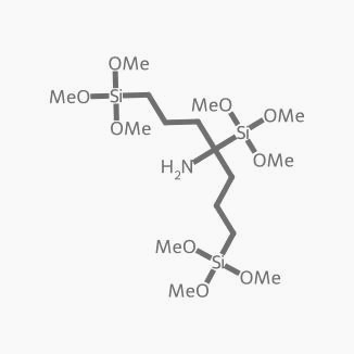 CO[Si](CCCC(N)(CCC[Si](OC)(OC)OC)[Si](OC)(OC)OC)(OC)OC